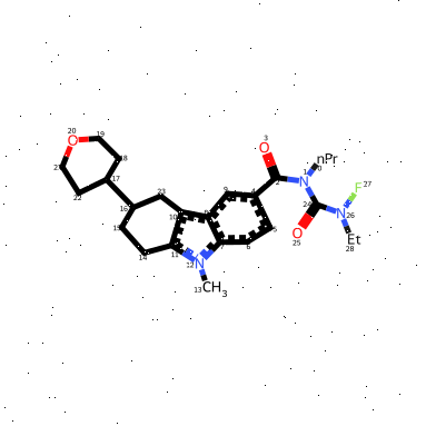 CCCN(C(=O)c1ccc2c(c1)c1c(n2C)CCC(C2CCOCC2)C1)C(=O)N(F)CC